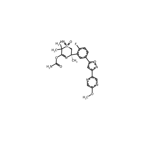 COc1cnc(-c2cc(-c3ccc(F)c([C@]4(C)C[S@@](=N)(=O)C(C)(C)C(OC(N)=O)=N4)c3)on2)cn1